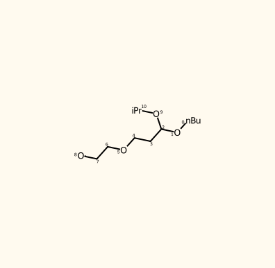 CCCCOC(CCOCC[O])OC(C)C